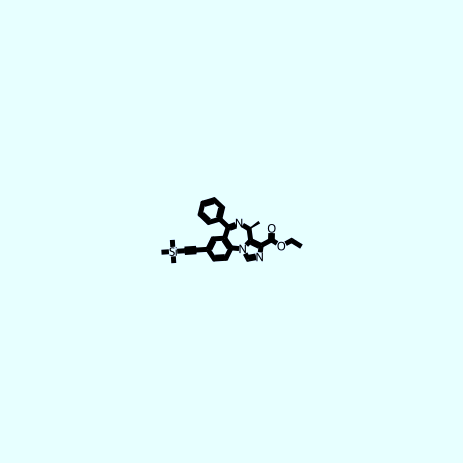 CCOC(=O)c1ncn2c1[C@H](C)N=C(c1ccccc1)c1cc(C#C[Si](C)(C)C)ccc1-2